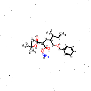 CCC(C)C(COCc1ccccc1)CC(C(=O)ON)C(=O)OC(C)(C)C